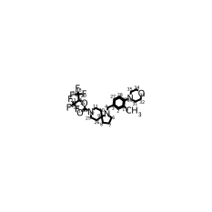 Cc1cc(CN2CCCC23CCN(C(=O)OC(C(F)(F)F)C(F)(F)F)CC3)ccc1N1CCOCC1